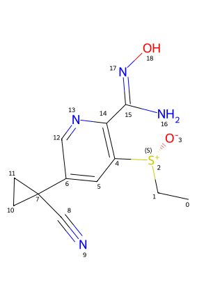 CC[S@@+]([O-])c1cc(C2(C#N)CC2)cnc1C(N)=NO